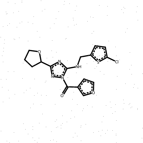 O=C(c1ccoc1)n1nc(C2CCCO2)nc1NCc1ccc(Cl)s1